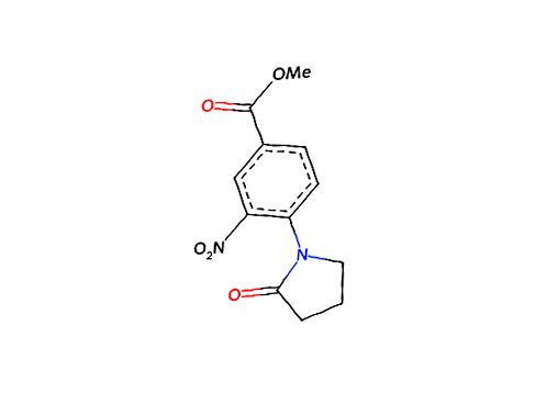 COC(=O)c1ccc(N2CCCC2=O)c([N+](=O)[O-])c1